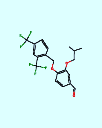 CC(C)COc1cc(C=O)ccc1OCc1ccc(C(F)(F)F)cc1C(F)(F)F